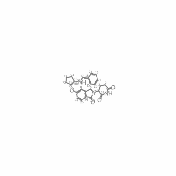 O=C1CCC(N2Cc3cc(O[C@@H]4CCC[C@H]4NCc4ccccc4)ccc3C2=O)C(=O)N1